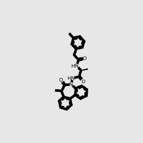 Cc1cccc(CC(=O)N[C@@H](C)C(=O)NN2C(=O)C(C)c3ccccc3-c3ccccc32)c1